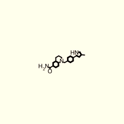 Cc1c[nH]c(-c2ccc(CN3CCCc4cc(C(N)=O)ccc43)cc2)c1